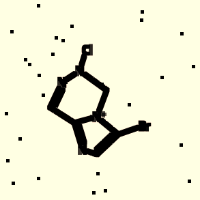 ClN1C[N+]2C(Br)=CN=C2C=N1